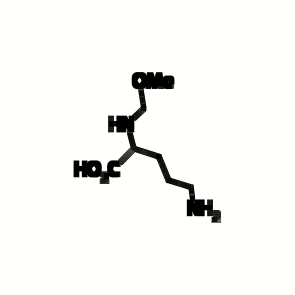 COCNC(CCCN)C(=O)O